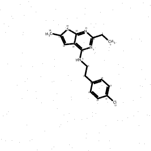 CCc1nc(NCCc2ccc(Cl)cc2)c2cc(C)sc2n1